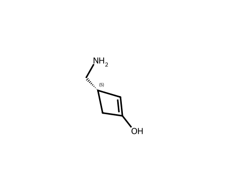 NC[C@@H]1C=C(O)C1